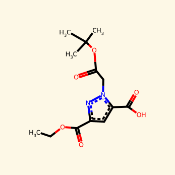 CCOC(=O)c1cc(C(=O)O)n(CC(=O)OC(C)(C)C)n1